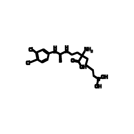 NC(CCCCB(O)O)(CCNC(=S)Nc1ccc(Cl)c(Cl)c1)C(=O)O